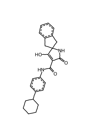 O=C(Nc1ccc(C2CCCCC2)cc1)C1=C(O)C2(Cc3ccccc3C2)NC1=O